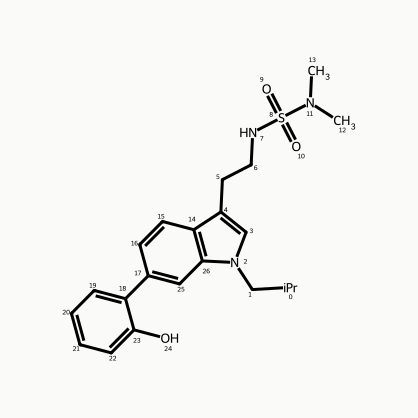 CC(C)Cn1cc(CCNS(=O)(=O)N(C)C)c2ccc(-c3ccccc3O)cc21